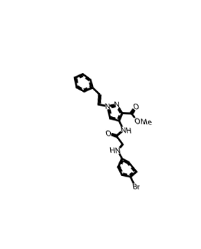 COC(=O)c1nn(C=Cc2ccccc2)cc1NC(=O)CNc1ccc(Br)cc1